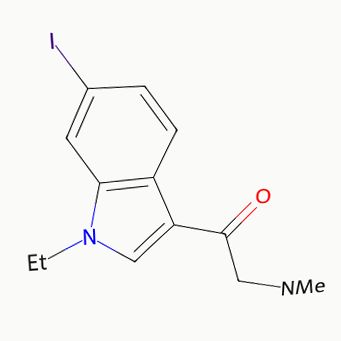 CCn1cc(C(=O)CNC)c2ccc(I)cc21